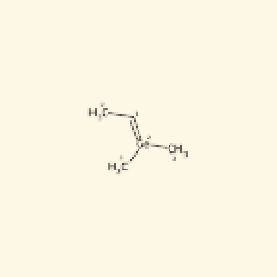 C[CH]=[Ge]([CH3])[CH3]